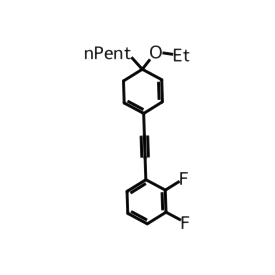 CCCCCC1(OCC)C=CC(C#Cc2cccc(F)c2F)=CC1